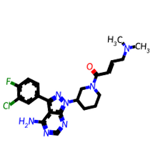 CN(C)CC=CC(=O)N1CCCC(n2nc(-c3ccc(F)c(Cl)c3)c3c(N)ncnc32)C1